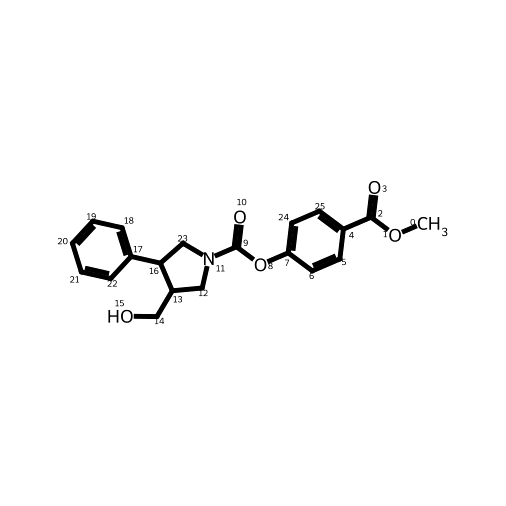 COC(=O)c1ccc(OC(=O)N2CC(CO)C(c3ccccc3)C2)cc1